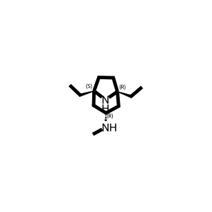 CC[C@]12CC[C@](CC)(C[C@H](NC)C1)N2